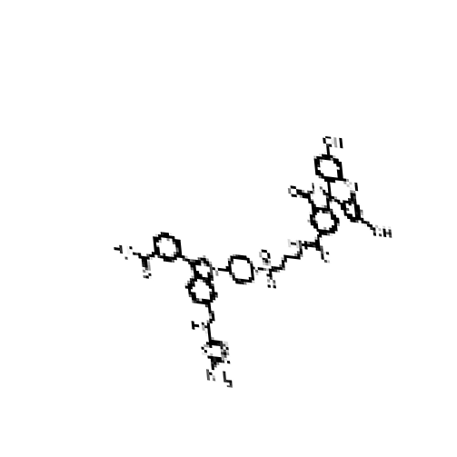 NC(=S)c1cccc(-c2cn(C3CCN(S(=O)(=O)CCCNC(=O)c4ccc5c(c4)C(=O)OC54c5ccc(O)cc5Oc5cc(O)ccc54)CC3)c3cc(CNc4nnc(N)s4)ccc23)c1